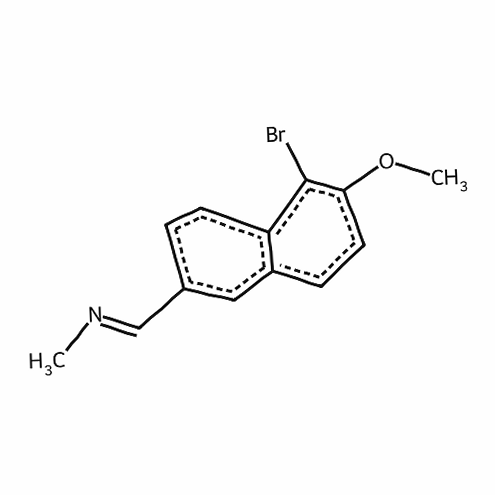 C/N=C/c1ccc2c(Br)c(OC)ccc2c1